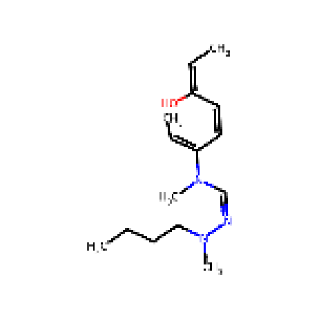 C\C=C(O)/C=C\C(=C/C)N(C)/C=N\N(C)CCCC